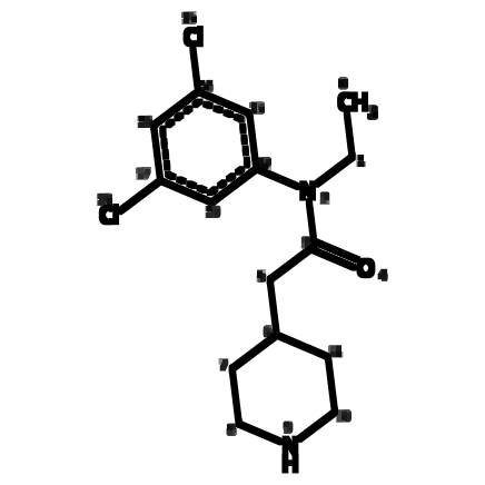 CCN(C(=O)CC1CCNCC1)c1cc(Cl)cc(Cl)c1